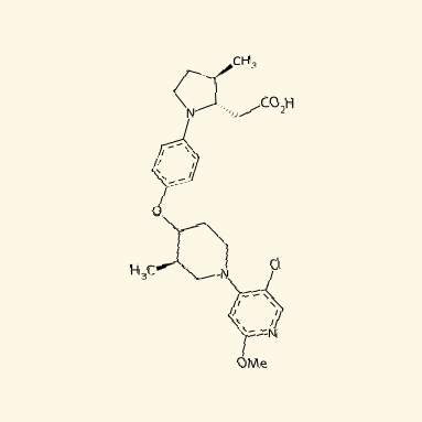 COc1cc(N2CCC(Oc3ccc(N4CC[C@@H](C)[C@@H]4CC(=O)O)cc3)[C@H](C)C2)c(Cl)cn1